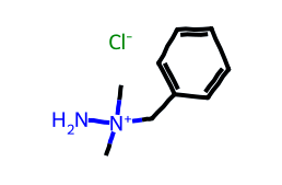 C[N+](C)(N)Cc1ccccc1.[Cl-]